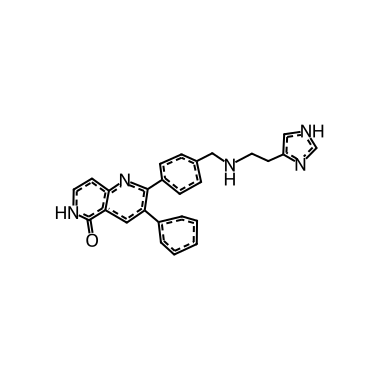 O=c1[nH]ccc2nc(-c3ccc(CNCCc4c[nH]cn4)cc3)c(-c3ccccc3)cc12